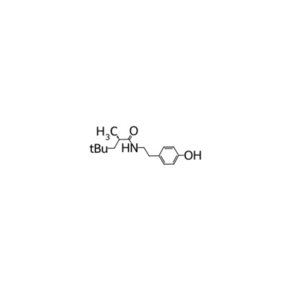 C[C@H](CC(C)(C)C)C(=O)NCCc1ccc(O)cc1